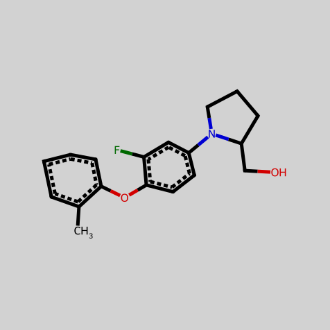 Cc1ccccc1Oc1ccc(N2CCCC2CO)cc1F